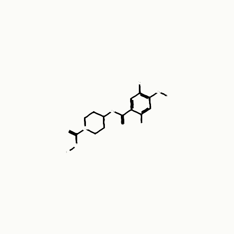 CCNc1cc(Cl)c(C(=O)NC2CCN(C(=O)OC(C)(C)C)CC2)cc1[N+](=O)[O-]